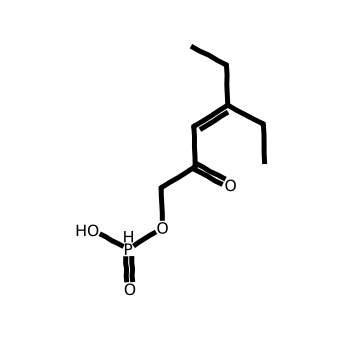 CCC(=CC(=O)CO[PH](=O)O)CC